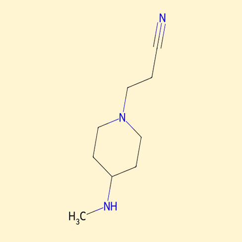 CNC1CCN(CCC#N)CC1